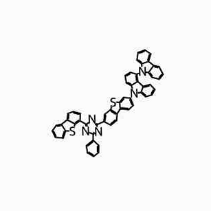 c1ccc(-c2nc(-c3ccc4c(c3)sc3cc(-n5c6ccccc6c6c(-n7c8ccccc8c8ccccc87)cccc65)ccc34)nc(-c3cccc4c3sc3ccccc34)n2)cc1